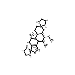 C[C@]12CCC3(CC1[C@@H](CO)[C@@H](O)C1C2CC[C@@]2(C)C1CCC21OCCO1)OCCO3